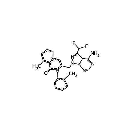 Cc1ccccc1-n1c(CN2N=C(C(F)F)C3C(N)=NC=NC32)cc2cccc(C)c2c1=O